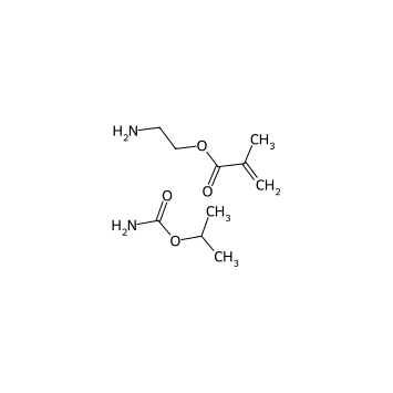 C=C(C)C(=O)OCCN.CC(C)OC(N)=O